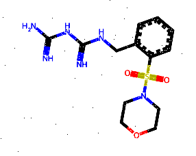 N=C(N)NC(=N)NCc1ccccc1S(=O)(=O)N1CCOCC1